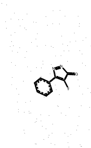 O=C1N=NC(c2ccccc2)=C1F